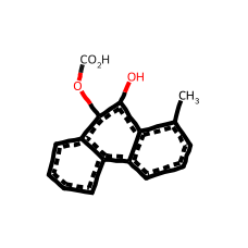 Cc1cccc2c1c(O)c(OC(=O)O)c1ccccc12